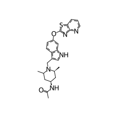 CC(=O)N[C@H]1CC(C)N(Cc2c[nH]c3cc(Oc4nc5ncccc5s4)ccc23)[C@@H](C)C1